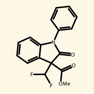 COC(=O)C1(C(F)F)C(=O)N(c2ccccc2)c2ccccc21